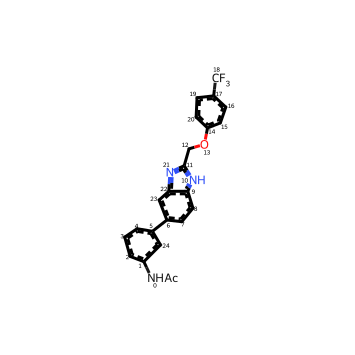 CC(=O)Nc1cccc(-c2ccc3[nH]c(COc4ccc(C(F)(F)F)cc4)nc3c2)c1